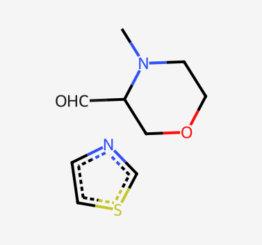 CN1CCOCC1C=O.c1cscn1